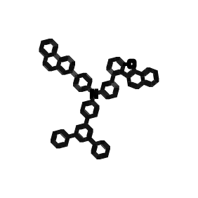 c1ccc(-c2cc(-c3ccccc3)cc(-c3ccc(N(c4ccc(-c5ccc6c(ccc7ccccc76)c5)cc4)c4cccc(-c5cccc6oc7c8ccccc8ccc7c56)c4)cc3)c2)cc1